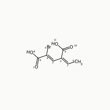 CC=C(C=C(Br)C(=O)O)C(=O)O